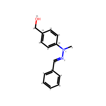 CN(/N=C/c1ccccc1)c1ccc(CO)cc1